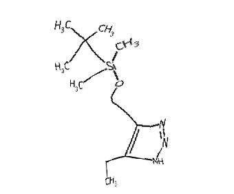 CCc1[nH]nnc1CO[Si](C)(C)C(C)(C)C